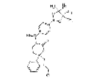 CC[C@@H](c1ccc(B2OC(C)(C)C(C)(C)O2)cc1)N1CCC(CCCO)(c2ccccc2)OC1=O